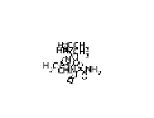 CC(C)(C)C(NCl)C(=O)N1CC2C([C@H]1C(=O)NC(CC1CCC1)C(=O)C(N)=O)C2(C)C